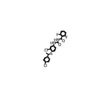 CC(Sc1ccc(NC(=O)NC(=O)c2c(F)cccc2F)cc1Cl)c1ccc(Cl)cc1